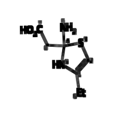 CCC1=CSC(N)(CC(=O)O)N1